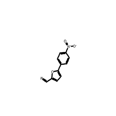 [N]=Cc1ccc(-c2ccc([N+](=O)[O-])cc2)o1